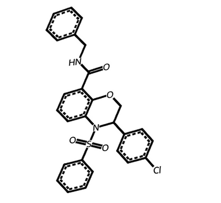 O=C(NCc1ccccc1)c1cccc2c1OCC(c1ccc(Cl)cc1)N2S(=O)(=O)c1ccccc1